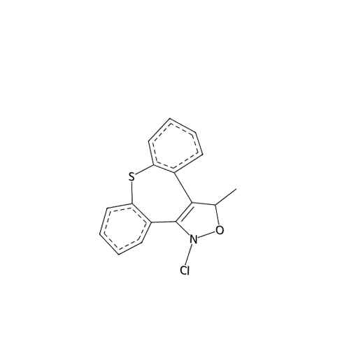 CC1ON(Cl)C2=C1c1ccccc1Sc1ccccc12